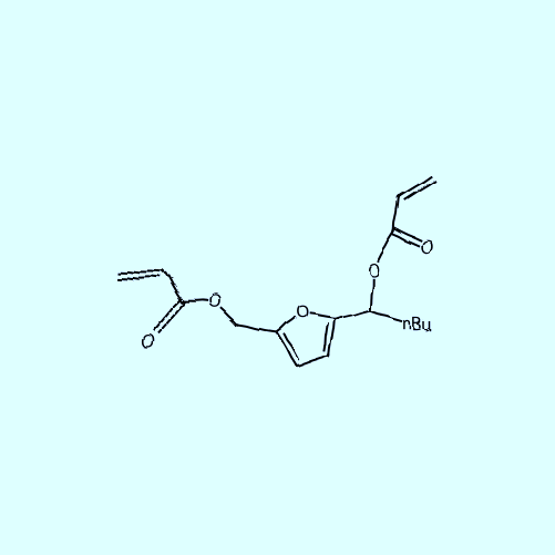 C=CC(=O)OCc1ccc(C(CCCC)OC(=O)C=C)o1